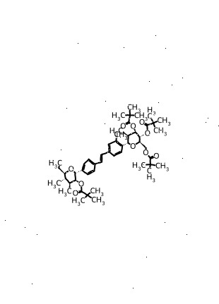 CC[C@H]1O[C@H](c2ccc(/C=C/c3ccc([C@H]4O[C@H](COC(=O)C(C)(C)C)[C@@H](OC(=O)C(C)(C)C)[C@H](OC(=O)C(C)(C)C)[C@@H]4C)c(C)c3)cc2)[C@@H](OC(=O)C(C)(C)C)[C@@H](C)[C@@H]1C